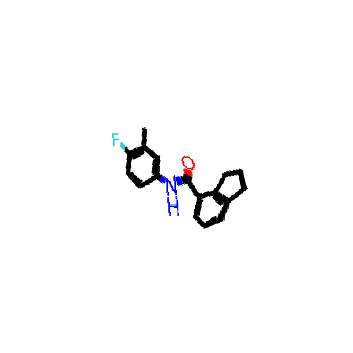 Cc1cc(NC(=O)c2cccc3c2CCC3)ccc1F